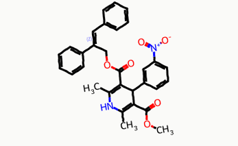 COC(=O)C1=C(C)NC(C)=C(C(=O)OC/C(=C\c2ccccc2)c2ccccc2)C1c1cccc([N+](=O)[O-])c1